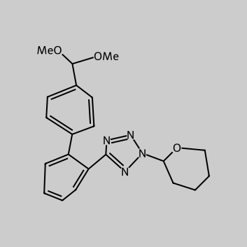 COC(OC)c1ccc(-c2ccccc2-c2nnn(C3CCCCO3)n2)cc1